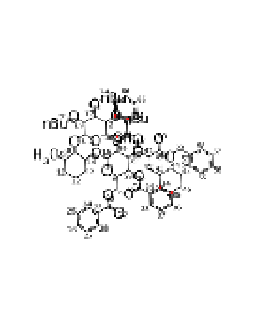 CCCCOC1C(C)OC(OC2C(C)CCCC2OC2OC(COC(=O)c3ccccc3)C(OC(=O)c3ccccc3)C(O[C@@H](CC3CCCCC3)C(=O)OCc3ccccc3)C2OC(=O)c2ccccc2)C(OCCCC)C1OCCCC